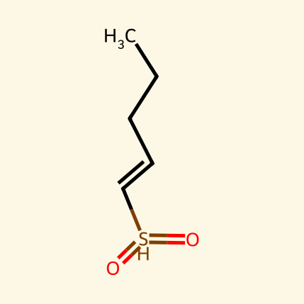 CCCC=C[SH](=O)=O